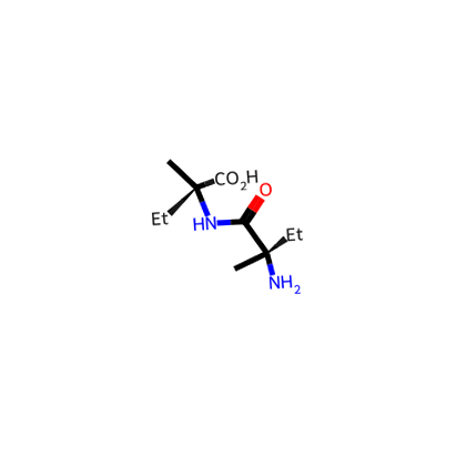 CC[C@](C)(N)C(=O)N[C@@](C)(CC)C(=O)O